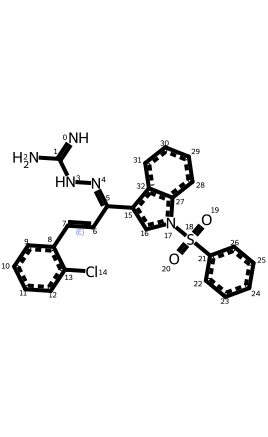 N=C(N)NN=C(/C=C/c1ccccc1Cl)c1cn(S(=O)(=O)c2ccccc2)c2ccccc12